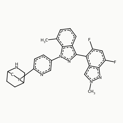 Cc1cccc2c(-c3c(F)cc(F)c4nn(C)cc34)nn(-c3ccc(N4CC5CCC4CN5)nc3)c12